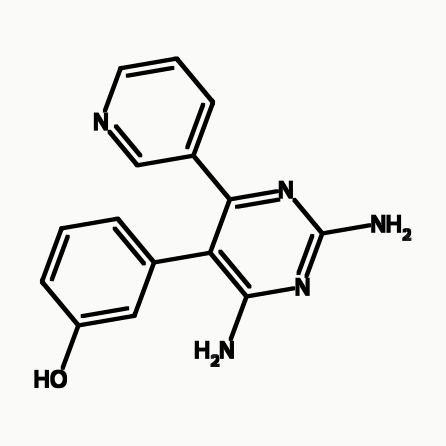 Nc1nc(N)c(-c2cccc(O)c2)c(-c2cccnc2)n1